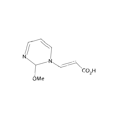 COC1N=CC=CN1/C=C/C(=O)O